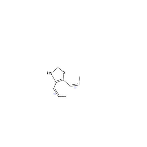 C/C=C\C1=C(/C=C\C)SCN1